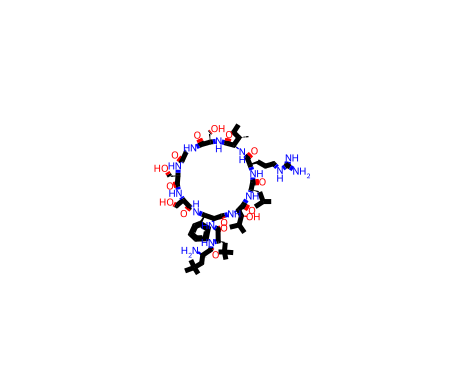 CC[C@H](C)[C@@H]1NC(=O)[C@@H](CCCNC(=N)N)NC(=O)[C@H](CC(C)C)NC(=O)[C@H]([C@H](O)C(C)C)NC(=O)[C@@H](NC(=O)[C@H](CC(C)(C)C)NC(=O)[C@H](N)CC(C)(C)C)[C@@H](c2ccccc2)NC(=O)C(CO)NC(=O)[C@H](CO)NC(=O)CNC(=O)[C@H](CO)NC1=O